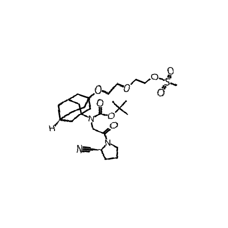 CC(C)(C)OC(=O)N(CC(=O)N1CCC[C@H]1C#N)C12CC3C[C@H](CC(OCCOCCOS(C)(=O)=O)(C3)C1)C2